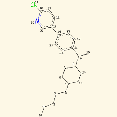 CCCCCC1CCC(C(C)c2ccc(-c3ccc(Cl)nc3)cc2)CC1